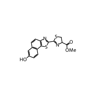 COC(=O)C1CSC(c2nc3ccc4cc(O)ccc4c3s2)=N1